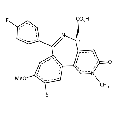 COc1cc2c(cc1F)-c1cn(C)c(=O)cc1[C@H](CC(=O)O)N=C2c1ccc(F)cc1